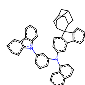 c1cc(N(c2ccc3c(c2)-c2ccccc2C32C3CC4CC(C3)CC2C4)c2cccc3ccccc23)cc(-n2c3ccccc3c3ccccc32)c1